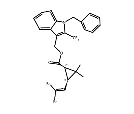 CC1(C)[C@H](C(=O)OCc2c(C(F)(F)F)n(Cc3ccccc3)c3ccccc23)[C@@H]1C=C(Br)Br